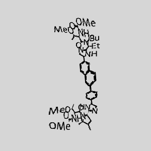 CC[C@H](C)N(C(=O)[C@@H](NC(=O)OC)[C@@H](C)OC)[C@@H](CC)C1=NCC(c2ccc3cc(-c4ccc(C5CN=C([C@@H]6CC(C)[C@@H](C)N6C(=O)[C@@H](NC(=O)OC)[C@@H](C)OC)N5)cc4)ccc3c2)N1